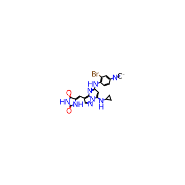 [C-]#[N+]c1ccc(Nc2cc(NC3CC3)n3ncc(/C=C4\NC(=O)NC4=O)c3n2)c(Br)c1